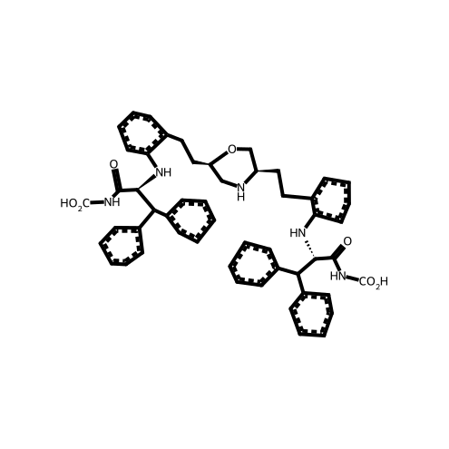 O=C(O)NC(=O)[C@@H](Nc1ccccc1CC[C@@H]1CO[C@H](CCc2ccccc2N[C@H](C(=O)NC(=O)O)C(c2ccccc2)c2ccccc2)CN1)C(c1ccccc1)c1ccccc1